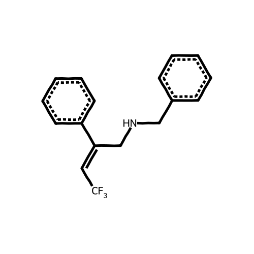 FC(F)(F)/C=C(\CNCc1ccccc1)c1ccccc1